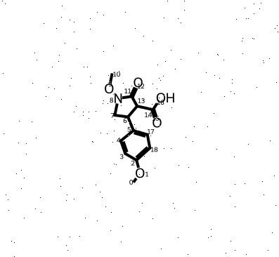 COc1ccc(C2CN(OC)C(=O)C2C(=O)O)cc1